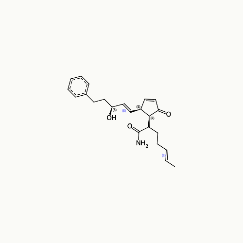 C/C=C/CCC(C(N)=O)[C@@H]1C(=O)C=C[C@@H]1/C=C/[C@@H](O)CCc1ccccc1